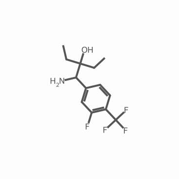 CCC(O)(CC)C(N)c1ccc(C(F)(F)F)c(F)c1